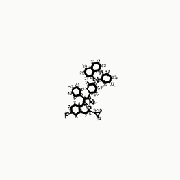 Fc1ccc2c(c1)cc(C1CC1)n1nc(-c3ccc(N(c4ccccc4)c4cccc5ccccc45)cc3)c(-c3ccccc3)c21